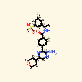 CC(NC(=O)c1ccc(-c2nc(C3=CCOCC3)cnc2N)cc1F)c1cc(F)cc(S(C)(=O)=O)c1